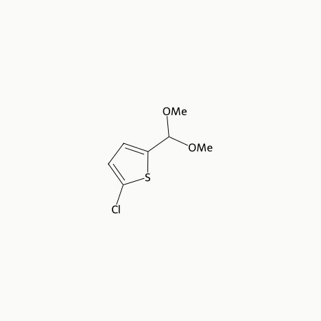 COC(OC)c1ccc(Cl)s1